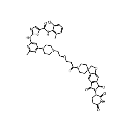 Cc1nc(Nc2ncc(C(=O)Nc3c(C)cccc3Cl)s2)cc(N2CCN(CCOCCC(=O)N3CCC4(CC3)COc3cc5c(cc34)C(=O)N(C3CCC(=O)NC3=O)C5=O)CC2)n1